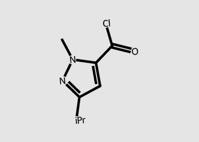 CC(C)c1cc(C(=O)Cl)n(C)n1